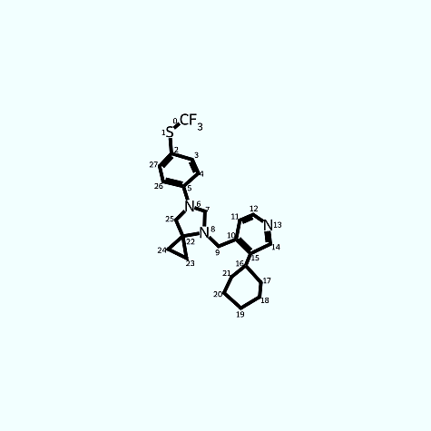 FC(F)(F)Sc1ccc(N2CN(Cc3ccncc3C3CCCCC3)C3(CC3)C2)cc1